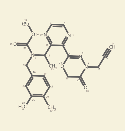 C#CCN1N=C(c2nccnc2C(C)N(Cc2ccc(C)c(C)c2)C(=O)OC(C)(C)C)OCC1=O